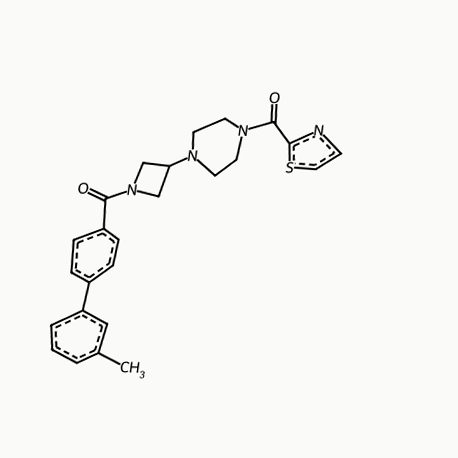 Cc1cccc(-c2ccc(C(=O)N3CC(N4CCN(C(=O)c5nccs5)CC4)C3)cc2)c1